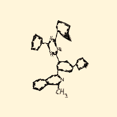 Cc1nc(-c2cc(-c3ccccc3)cc(-c3nc(-c4ccccc4)nc(-c4ccccc4)n3)c2)cc2ccccc12